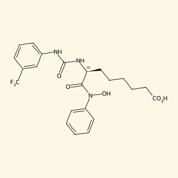 O=C(O)CCCCC[C@H](NC(=O)Nc1cccc(C(F)(F)F)c1)C(=O)N(O)c1cc[c]cc1